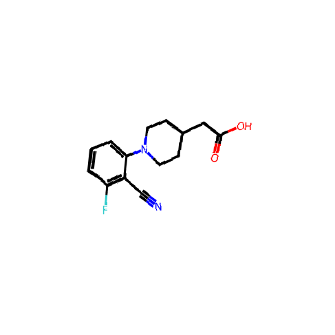 N#Cc1c(F)cccc1N1CCC(CC(=O)O)CC1